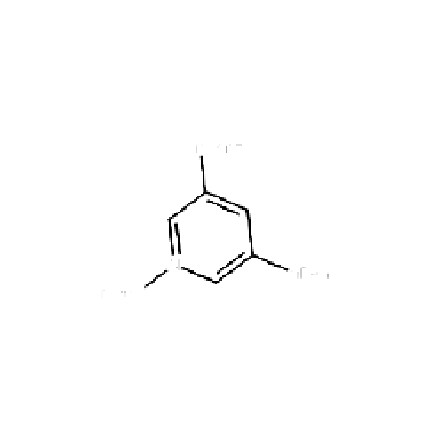 CCCCCCCCCC[n+]1cc(CCCCC)cc(CCCCC)c1